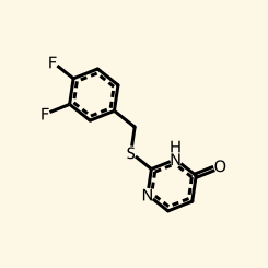 O=c1ccnc(SCc2ccc(F)c(F)c2)[nH]1